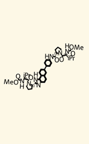 COC(=O)N[C@H](C(=O)N1CCC[C@H]1C(=O)Nc1ccc(-c2ccc3c(ccc4nc([C@@H]5CCCN5C(=O)[C@@H](NC(=O)OC)C(C)C)[nH]c43)c2)cc1)C(C)C